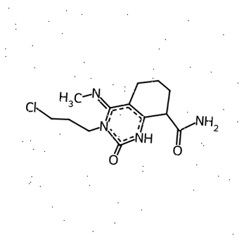 CN=c1c2c([nH]c(=O)n1CCCCl)C(C(N)=O)CCC2